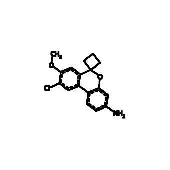 COc1cc2c(cc1Cl)-c1ccc(N)cc1OC21CCC1